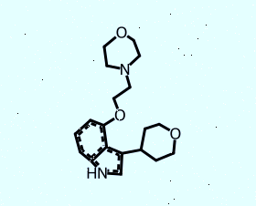 c1cc(OCCN2CCOCC2)c2c(C3CCOCC3)c[nH]c2c1